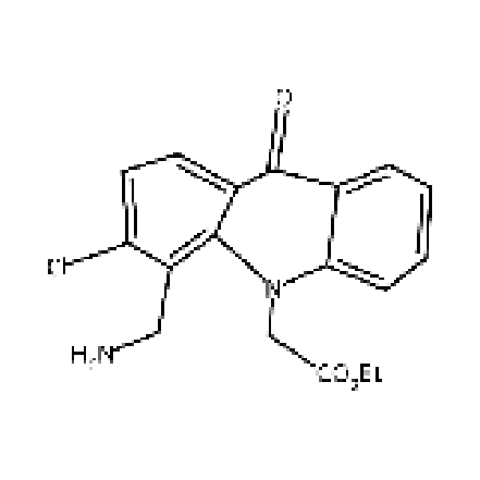 CCOC(=O)Cn1c2ccccc2c(=O)c2ccc(Cl)c(CN)c21